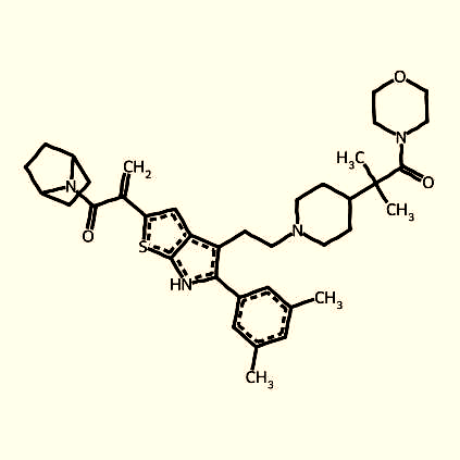 C=C(C(=O)N1C2CCC1CC2)c1cc2c(CCN3CCC(C(C)(C)C(=O)N4CCOCC4)CC3)c(-c3cc(C)cc(C)c3)[nH]c2s1